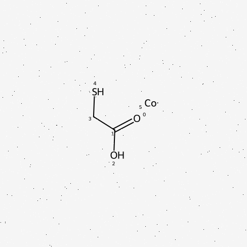 O=C(O)CS.[Co]